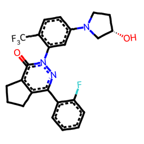 O=c1c2c(c(-c3ccccc3F)nn1-c1cc(N3CC[C@H](O)C3)ccc1C(F)(F)F)CCC2